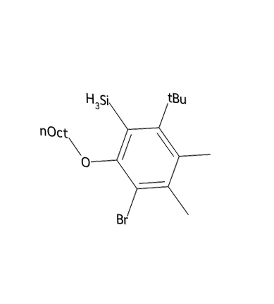 CCCCCCCCOc1c([SiH3])c(C(C)(C)C)c(C)c(C)c1Br